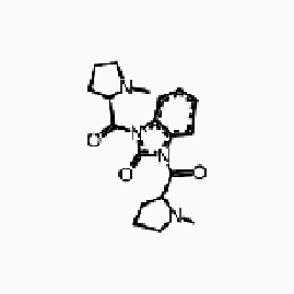 CN1CCCC1C(=O)n1c(=O)n(C(=O)C2CCCN2C)c2ccccc21